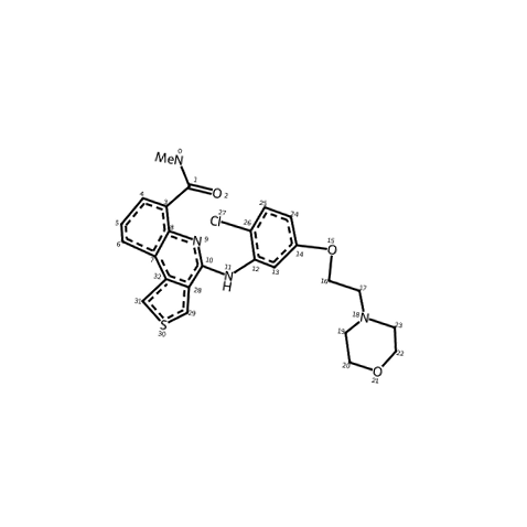 CNC(=O)c1cccc2c1nc(Nc1cc(OCCN3CCOCC3)ccc1Cl)c1cscc12